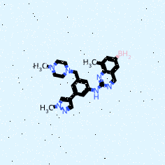 Bc1cc(C)c2nc(Nc3cc(CN4CCN(C)CC4)cc(-c4cnn(C)c4)c3)ncc2c1